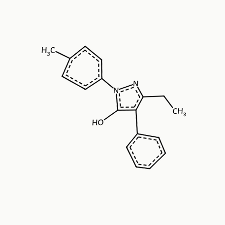 CCc1nn(-c2ccc(C)cc2)c(O)c1-c1ccccc1